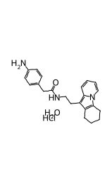 Cl.Nc1ccc(CC(=O)NCCc2c3c(n4ccccc24)CCCC3)cc1.O